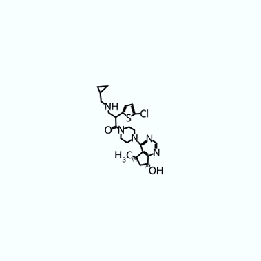 C[C@@H]1C[C@@H](O)c2ncnc(N3CCN(C(=O)C(CNCC4CC4)c4ccc(Cl)s4)CC3)c21